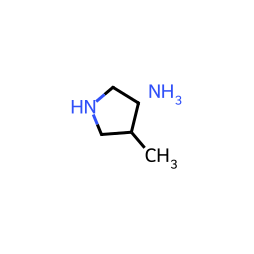 CC1CCNC1.N